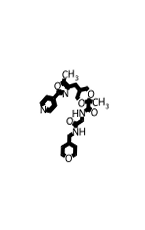 Cc1oc(-c2ccncc2)nc1CC1COC(C)(C(=O)NCC(=O)NCC2CCOCC2)OC1